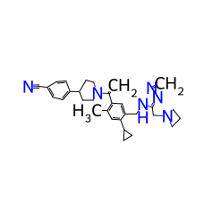 C=N/N=C(/CN1CCC1)NCc1cc(C(=C)N2CCC(c3ccc(C#N)cc3)CC2)c(C)cc1C1CC1